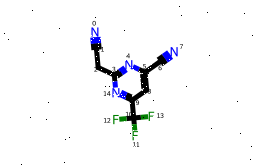 N#CCc1nc(C#N)cc(C(F)(F)F)n1